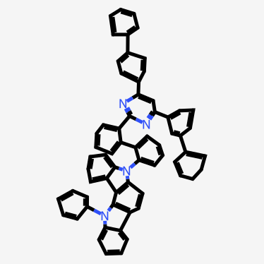 C1=CC(c2cccc(-c3cc(-c4ccc(-c5ccccc5)cc4)nc(-c4ccccc4-c4ccccc4-n4c5ccccc5c5c4ccc4c6ccccc6n(-c6ccccc6)c45)n3)c2)=CCC1